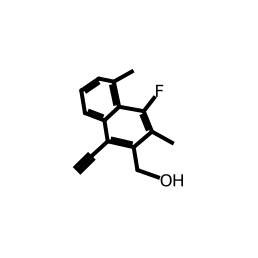 C#Cc1c(CO)c(C)c(F)c2c(C)cccc12